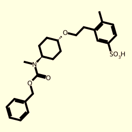 Cc1ccc(S(=O)(=O)O)cc1CCO[C@H]1CC[C@H](N(C)C(=O)OCc2ccccc2)CC1